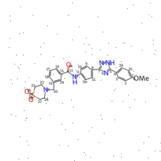 COc1ccc(-c2nc(-c3ccc(NC(=O)c4cccc(CN5CCS(=O)(=O)CC5)c4)cc3)n[nH]2)cc1